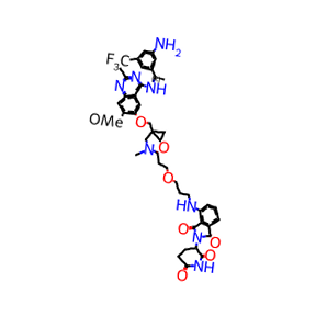 COc1cc2nc(C)nc(N[C@H](C)c3cc(N)cc(C(F)(F)F)c3)c2cc1OCC1(CN(C)C(=O)CCOCCCNc2cccc3c2C(=O)N(C2CCC(=O)NC2=O)C3=O)CC1